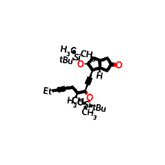 CCC#CC[C@H](C)[C@@H](C#C[C@H]1[C@H](O[Si](C)(C)C(C)(C)C)CC2CC(=O)C[C@@H]21)O[Si](C)(C)C(C)(C)C